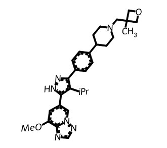 COc1cc(-c2[nH]nc(-c3ccc(C4CCN(CC5(C)COC5)CC4)cc3)c2C(C)C)cn2ncnc12